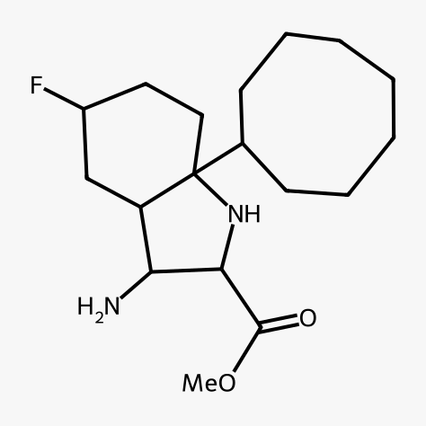 COC(=O)C1NC2(C3CCCCCCC3)CCC(F)CC2C1N